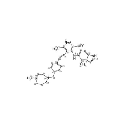 Cc1ncc(C#N)c(Nc2ccc3[nH]ccc3c2C)c1C=Cc1ccc(CN2CCCN(C)CC2)cn1